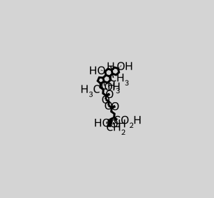 C=P(O)(O)CC(CCC(=O)OCOC(=O)CC[C@@H](C)C1CCC2C3C(C[C@H](O)[C@@]21C)[C@@]1(C)CC[C@@H](O)C[C@H]1C[C@H]3O)C(=O)O